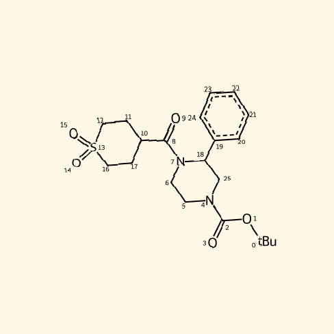 CC(C)(C)OC(=O)N1CCN(C(=O)C2CCS(=O)(=O)CC2)C(c2ccccc2)C1